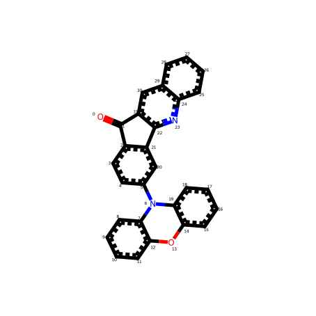 O=C1c2ccc(N3c4ccccc4Oc4ccccc43)cc2-c2nc3ccccc3cc21